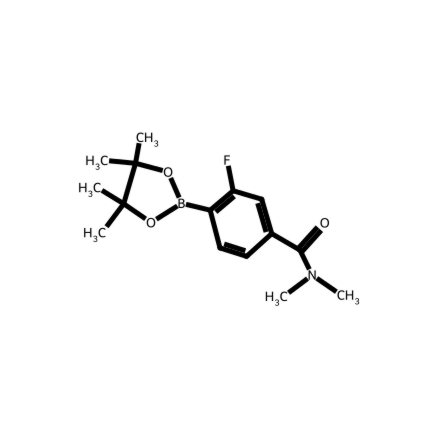 CN(C)C(=O)c1ccc(B2OC(C)(C)C(C)(C)O2)c(F)c1